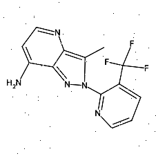 Cc1c2nccc(N)c2nn1-c1ncccc1C(F)(F)F